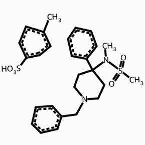 CN(C1(c2ccccc2)CCN(Cc2ccccc2)CC1)S(C)(=O)=O.Cc1ccc(S(=O)(=O)O)cc1